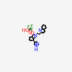 O=C(O)C(F)(F)F.O=C1c2cccc(-c3cn[nH]c3)c2CN1CCc1ccc2ccccc2n1